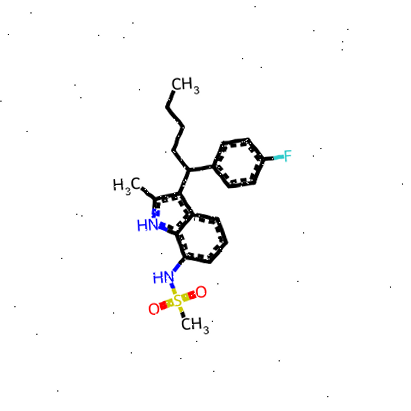 CCCCC(c1ccc(F)cc1)c1c(C)[nH]c2c(NS(C)(=O)=O)cccc12